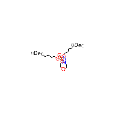 C1COCCN1.CCCCCCCCCCCCCCOS(=O)(=O)OCCCCCCCCCCCCCC